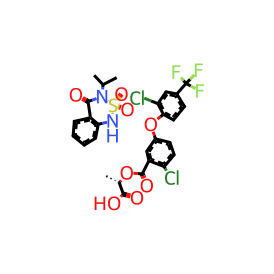 CC(C)N1C(=O)c2ccccc2NS1(=O)=O.C[C@H](OC(=O)c1cc(Oc2ccc(C(F)(F)F)cc2Cl)ccc1Cl)C(=O)O